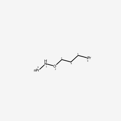 CCCNOCCCC(C)C